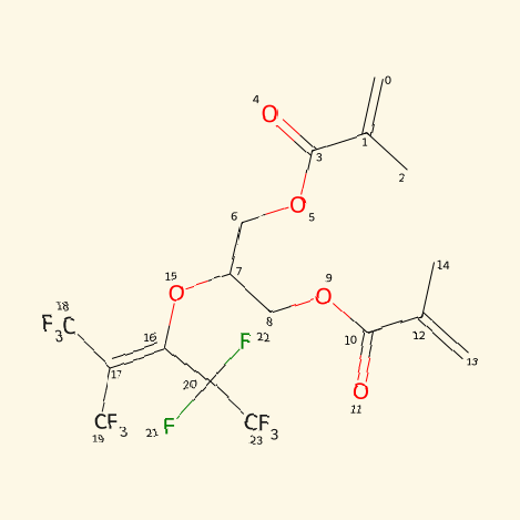 C=C(C)C(=O)OCC(COC(=O)C(=C)C)OC(=C(C(F)(F)F)C(F)(F)F)C(F)(F)C(F)(F)F